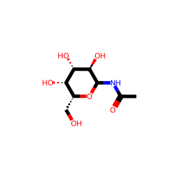 CC(=O)N[C]1O[C@H](CO)[C@H](O)[C@H](O)[C@H]1O